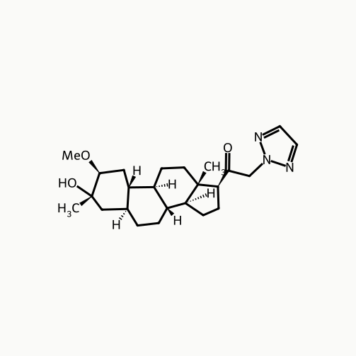 CO[C@H]1C[C@H]2[C@@H](CC[C@@H]3[C@@H]2CC[C@]2(C)[C@@H](C(=O)Cn4nccn4)CC[C@@H]32)C[C@]1(C)O